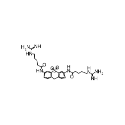 N=C(N)NCCCCC(=O)Nc1ccc2c(c1)S(=O)(=O)c1cc(NC(=O)CCCCNC(=N)N)ccc1C2